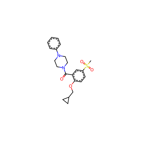 CS(=O)(=O)c1ccc(OCC2CC2)c(C(=O)N2CCN(c3ccccc3)CC2)c1